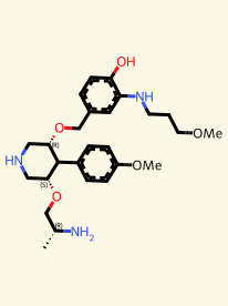 COCCCNc1cc(CO[C@H]2CNC[C@@H](OC[C@@H](C)N)C2c2ccc(OC)cc2)ccc1O